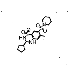 Cc1cc2c(cc1S(=O)(=O)N1CCCCC1)S(=O)(=O)NC(C1CCCC1)N2